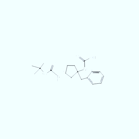 CC(C)(C)OC(=O)N[C@@H]1CCC(Cc2ccccc2)(NC(=O)O)C1